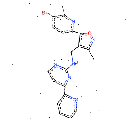 Cc1nc(-c2onc(C)c2CNc2nccc(-c3ccccn3)n2)ccc1Br